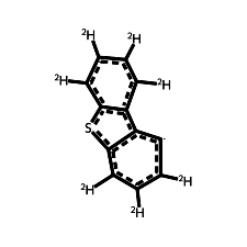 [2H]c1[c]c2c(sc3c([2H])c([2H])c([2H])c([2H])c32)c([2H])c1[2H]